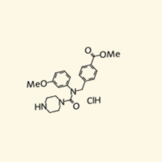 COC(=O)c1ccc(CN(C(=O)N2CCNCC2)c2cccc(OC)c2)cc1.Cl